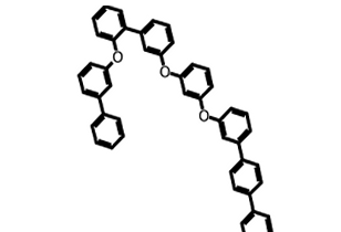 c1ccc(-c2ccc(-c3cccc(Oc4cccc(Oc5cccc(-c6ccccc6Oc6cccc(-c7ccccc7)c6)c5)c4)c3)cc2)cc1